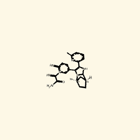 Cc1cccc(C2=C(c3ccc(=N)n(C(=N)C(N)=O)c3)N3C(N2)[C@H]2CC[C@@H]3C2)n1